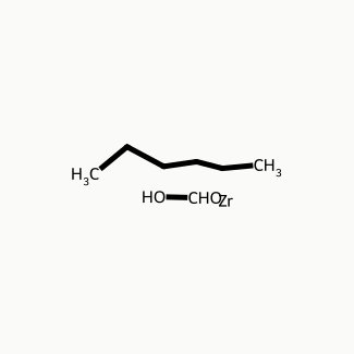 CCCCCC.O=CO.[Zr]